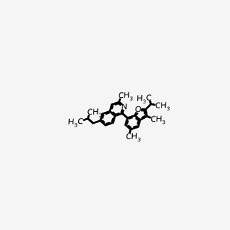 Cc1cc(-c2nc(C)cc3cc(CC(C)C)ccc23)c2oc(C(C)C)c(C)c2c1